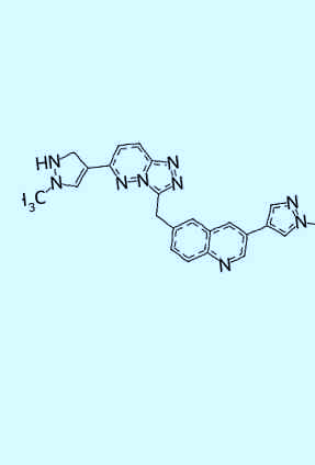 CN1C=C(c2ccc3nnc(Cc4ccc5ncc(-c6cnn(C)c6)cc5c4)n3n2)CN1